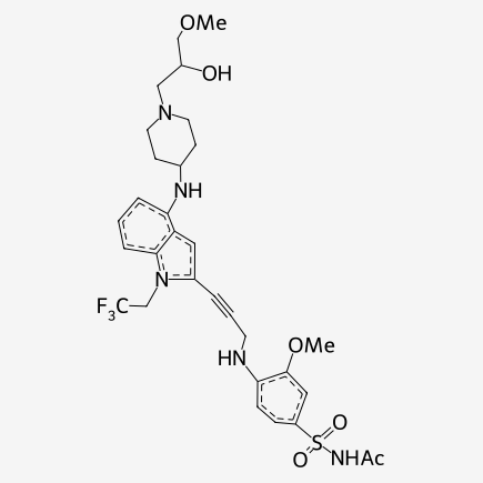 COCC(O)CN1CCC(Nc2cccc3c2cc(C#CCNc2ccc(S(=O)(=O)NC(C)=O)cc2OC)n3CC(F)(F)F)CC1